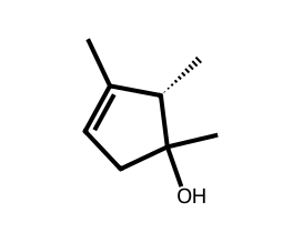 CC1=CCC(C)(O)[C@H]1C